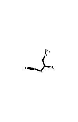 B=BOC(C)COB